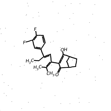 CC/C(=C\C(=C(C)C)C1=C(O)C2CCC(C2)C1=O)c1ccc(F)c(F)c1